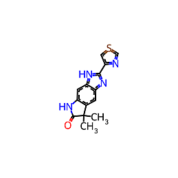 CC1(C)C(=O)Nc2cc3[nH]c(-c4cscn4)nc3cc21